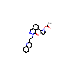 CC(C)(C)C(=O)On1cccc1-c1cccc2cnn(CCc3ccc4ccccc4n3)c(=O)c12